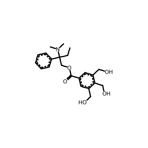 CCC(COC(=O)c1cc(CO)c(CO)c(CO)c1)(c1ccccc1)N(C)C